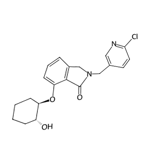 O=C1c2c(cccc2O[C@@H]2CCCC[C@H]2O)CN1Cc1ccc(Cl)nc1